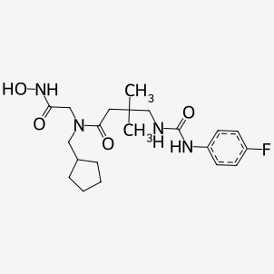 CC(C)(CNC(=O)Nc1ccc(F)cc1)CC(=O)N(CC(=O)NO)CC1CCCC1